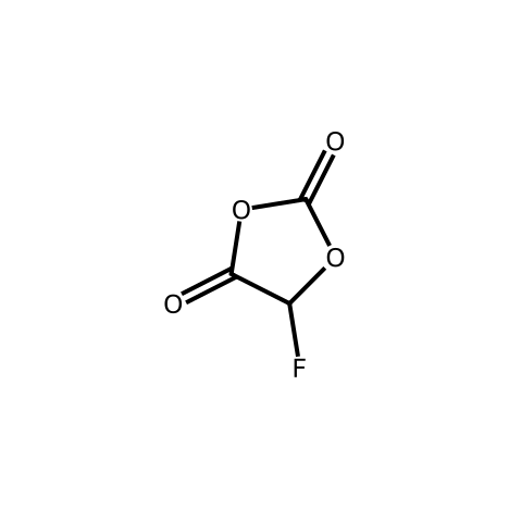 O=C1OC(=O)C(F)O1